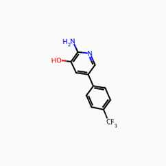 Nc1ncc(-c2ccc(C(F)(F)F)cc2)cc1O